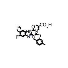 Cc1ccc(Cn2c(=O)n(C[C@H](C)C(=O)O)c(=O)[nH]/c2=N\c2ccc(CC(C)C)c(F)c2)cc1